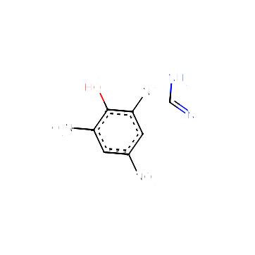 N=CN.O=[N+]([O-])c1cc([N+](=O)[O-])c(O)c([N+](=O)[O-])c1